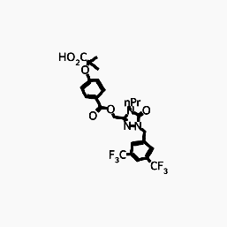 CCCn1c(COC(=O)c2ccc(OC(C)(C)C(=O)O)cc2)nn(Cc2cc(C(F)(F)F)cc(C(F)(F)F)c2)c1=O